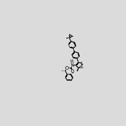 Cc1nsc(-c2ccc(-c3ccc(C4(C)CC4)cc3)cc2)c1NC(=O)O[C@@H](C)c1ccccc1